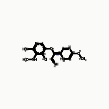 CNc1c(N)ncc(O/C(C=N)=C2\C=NC(OC)=CN2)c1Cl